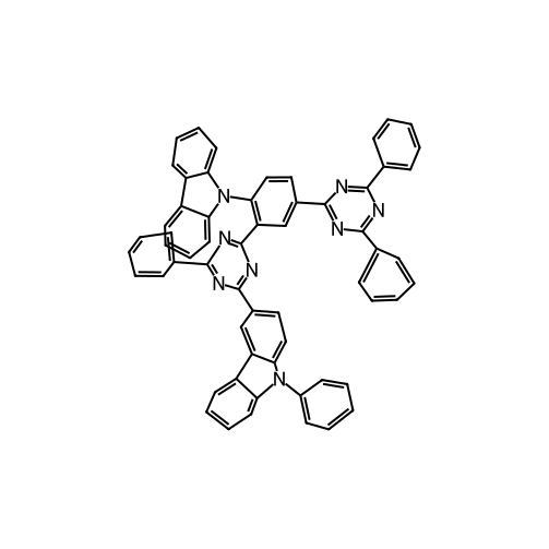 c1ccc(-c2nc(-c3ccccc3)nc(-c3ccc(-n4c5ccccc5c5ccccc54)c(-c4nc(-c5ccccc5)nc(-c5ccc6c(c5)c5ccccc5n6-c5ccccc5)n4)c3)n2)cc1